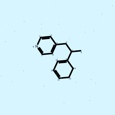 CC(Cc1ccncc1)C1=CC=CC[CH]1